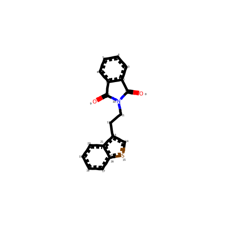 O=C1c2ccccc2C(=O)N1CCc1csc2ccccc12